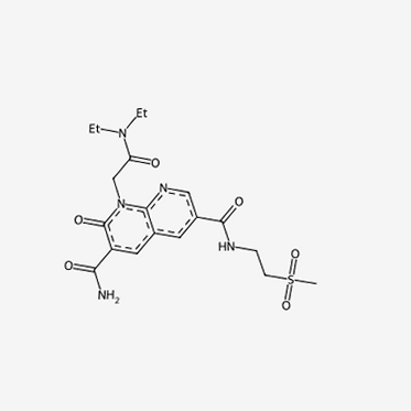 CCN(CC)C(=O)Cn1c(=O)c(C(N)=O)cc2cc(C(=O)NCCS(C)(=O)=O)cnc21